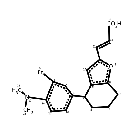 CCc1cc(C2CCCc3oc(C=CC(=O)O)cc32)ccc1N(C)C